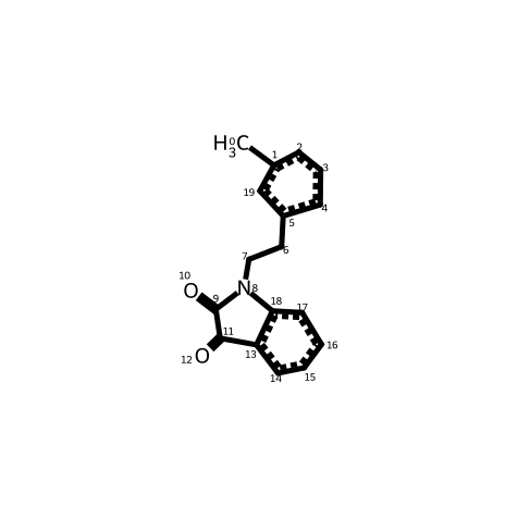 Cc1cccc(CCN2C(=O)C(=O)c3ccccc32)c1